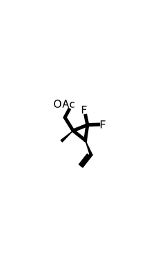 C=C[C@@H]1C(F)(F)[C@@]1(C)COC(C)=O